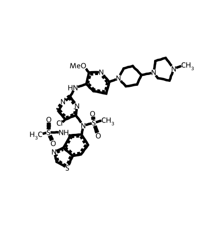 COc1nc(N2CCC(N3CCN(C)CC3)CC2)ccc1Nc1ncc(Cl)c(N(c2ccc3scnc3c2NS(C)(=O)=O)S(C)(=O)=O)n1